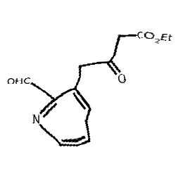 CCOC(=O)CC(=O)Cc1cccnc1C=O